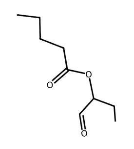 CCCCC(=O)OC(C=O)CC